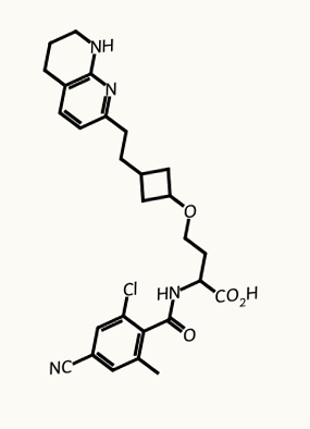 Cc1cc(C#N)cc(Cl)c1C(=O)NC(CCOC1CC(CCc2ccc3c(n2)NCCC3)C1)C(=O)O